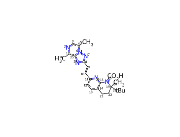 Cc1ncc(C)n2nc(C=Cc3ccc4c(n3)N(C(=O)O)C(C)(C(C)(C)C)CC4)nc12